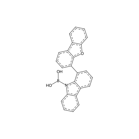 OB(O)n1c2ccccc2c2cccc(-c3cccc4c3oc3ccccc34)c21